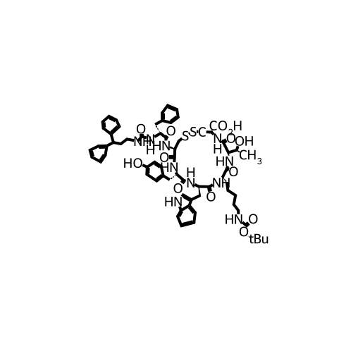 C[C@@H](O)[C@@H]1NC(=O)[C@H](CCCCCNC(=O)OC(C)(C)C)NC(=O)[C@@H](Cc2c[nH]c3ccccc23)NC(=O)[C@H](Cc2ccc(O)cc2)NC(=O)[C@@H](NC(=O)[C@@H](Cc2ccccc2)NC(=O)NCCC(c2ccccc2)c2ccccc2)CSSC[C@@H](C(=O)O)NC1=O